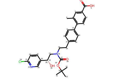 Cc1cc(C(=O)O)ccc1-c1ccc(CCN(C[C@H](O)c2ccc(Cl)nc2)C(=O)OC(C)(C)C)cc1